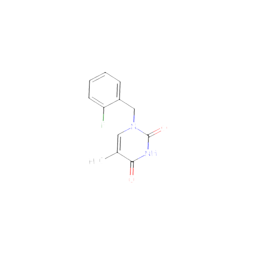 Cc1cn(Cc2ccccc2F)c(=O)[nH]c1=O